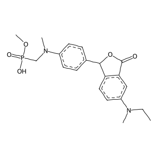 CCN(C)c1ccc2c(c1)C(=O)OC2c1ccc(N(C)CP(=O)(O)OC)cc1